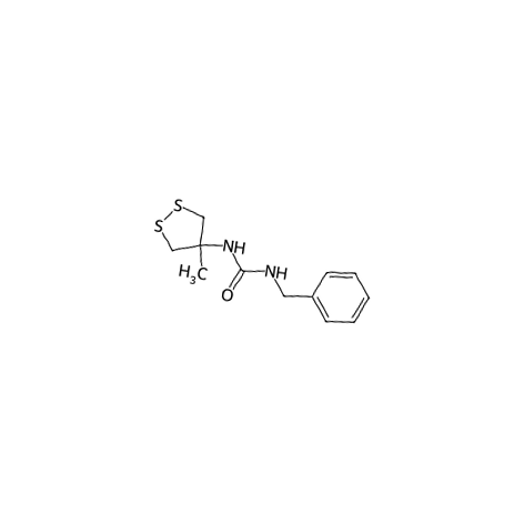 CC1(NC(=O)NCc2ccccc2)CSSC1